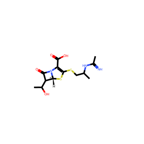 CC(=N)NC(C)CSC1=C(C(=O)O)N2C(=O)C(C(C)O)[C@H]2S1